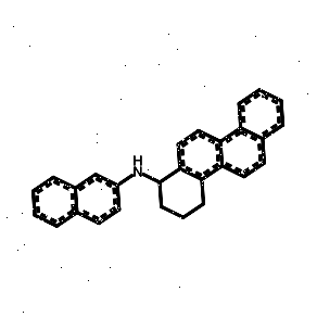 c1ccc2cc(NC3CCCc4c3ccc3c4ccc4ccccc43)ccc2c1